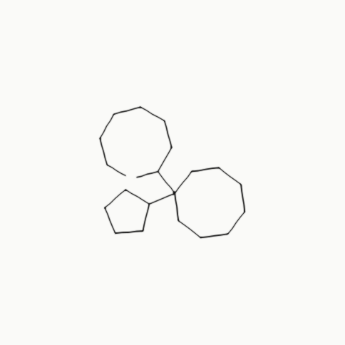 C1CCCC(C2CCCC2)(C2CCCCCCO2)CCC1